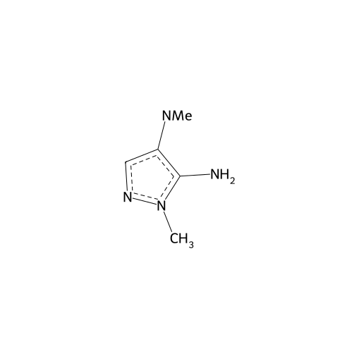 CNc1cnn(C)c1N